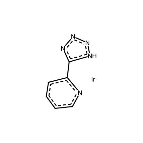 [Ir].c1ccc(-c2nnn[nH]2)nc1